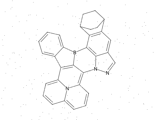 C1=CC2=CC=CC3=C4C5=C(C(=C1)N23)c1ccccc1B5c1c2c(cc3cnn4c13)C1CCC2CC1